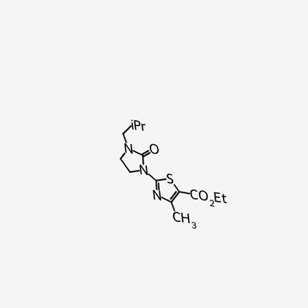 CCOC(=O)c1sc(N2CCN(CC(C)C)C2=O)nc1C